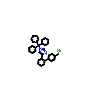 BrCc1ccc(-c2ccccc2-c2cn(C(c3ccccc3)(c3ccccc3)c3ccccc3)cn2)cc1